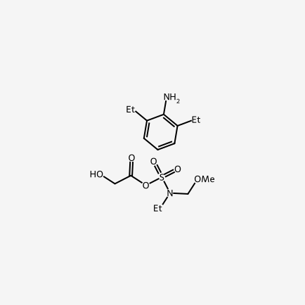 CCN(COC)S(=O)(=O)OC(=O)CO.CCc1cccc(CC)c1N